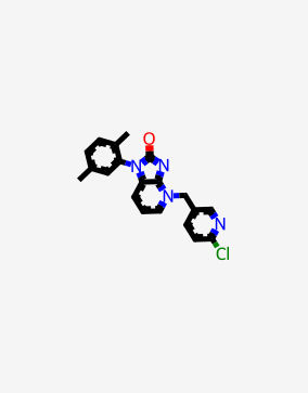 Cc1ccc(C)c(-n2c3cccn(Cc4ccc(Cl)nc4)c-3nc2=O)c1